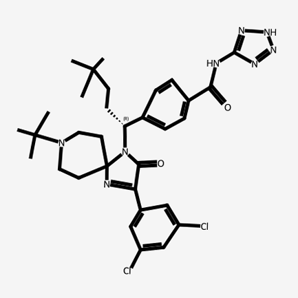 CC(C)(C)CC[C@H](c1ccc(C(=O)Nc2nn[nH]n2)cc1)N1C(=O)C(c2cc(Cl)cc(Cl)c2)=NC12CCN(C(C)(C)C)CC2